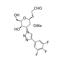 CO[C@@H]1[C@@H](n2cc(-c3cc(F)c(F)c(F)c3)nn2)[C@@H](O)[C@@H](CO)O[C@H]1SCC=O